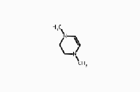 CN1C=CN(C)CC1